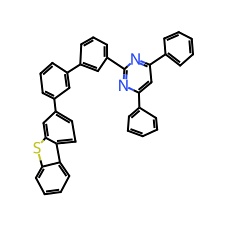 c1ccc(-c2cc(-c3ccccc3)nc(-c3cccc(-c4cccc(-c5ccc6c(c5)sc5ccccc56)c4)c3)n2)cc1